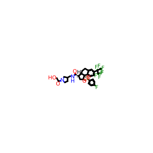 O=C(NCC1CCN(C(=O)CO)C1)[C@@H]1CC[C@@]2(S(=O)(=O)c3ccc(F)cc3)c3ccc(C(F)(C(F)(F)F)C(F)(F)F)cc3CC[C@@H]12